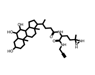 C#CCNC(=O)C(CCC1(C)NN1)NC(=O)CCC(C)C1CCC2C3C(O)C(O)C4CC(O)CCC4(C)C3CCC12C